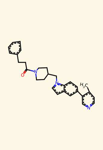 Cc1ccncc1-c1ccc2c(ccn2CC2CCN(C(=O)CCc3ccccc3)CC2)c1